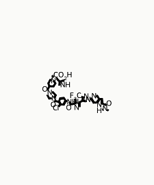 CN(C)C(=O)c1cc2cnc(-n3cc(-c4cnc(C(=O)Nc5ccc(C(=O)N6CCN(C(=O)C7CC[N+](CC(=O)O)(CC8CNC8)CC7)CC6)c(Cl)c5)n4C)c(C(F)(F)F)n3)cc2[nH]1